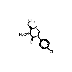 C/N=C1\SCN(c2ccc(Cl)cc2)C(=O)N1C